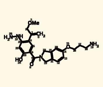 C=C(COC)c1cc(C(=O)N2Cc3ccc(OCCCN)cc3C2)c(O)cc1NN